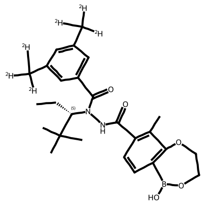 [2H]C([2H])([2H])c1cc(C(=O)N(NC(=O)c2ccc3c(c2C)OCCOB3O)[C@@H](CC)C(C)(C)C)cc(C([2H])([2H])[2H])c1